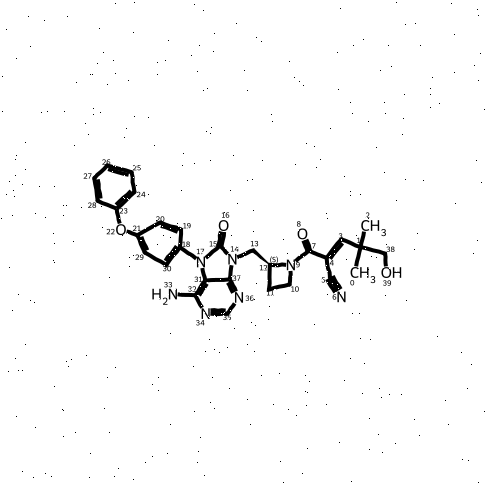 CC(C)(C=C(C#N)C(=O)N1CC[C@H]1Cn1c(=O)n(-c2ccc(Oc3ccccc3)cc2)c2c(N)ncnc21)CO